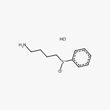 Cl.NCCCC[S+]([O-])c1ccccc1